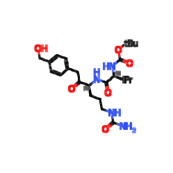 CC(C)[C@H](NC(=O)OC(C)(C)C)C(=O)N[C@@H](CCCNC(N)=O)C(=O)Cc1ccc(CO)cc1